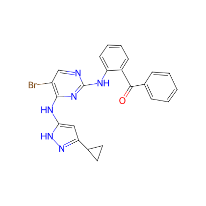 O=C(c1ccccc1)c1ccccc1Nc1ncc(Br)c(Nc2cc(C3CC3)n[nH]2)n1